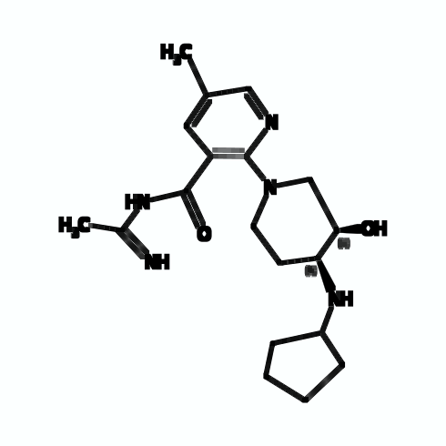 CC(=N)NC(=O)c1cc(C)cnc1N1CC[C@H](NC2CCCC2)[C@H](O)C1